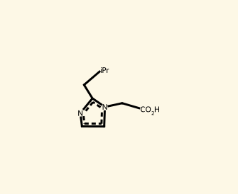 CC(C)Cc1nccn1CC(=O)O